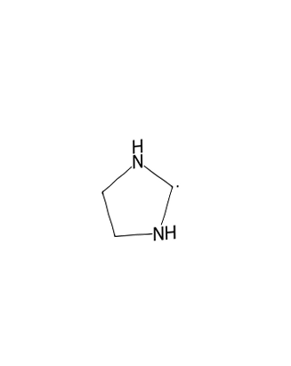 [CH]1NCCN1